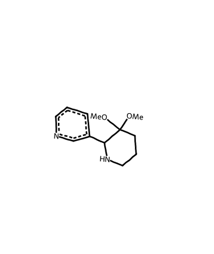 COC1(OC)CCCNC1c1cccnc1